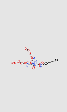 COCCOCCOCCOCCOCC(=O)NCCCC[C@H](NC(=O)COCCOCCOCCOCCOC)C(=O)NCCC(=O)ONC(=O)Cc1ccc(CCCCc2ccccc2)cc1